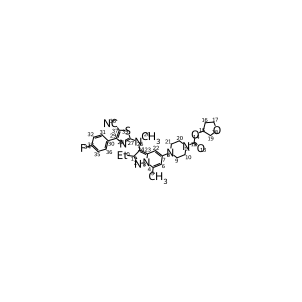 CCc1nn2c(C)cc(N3CCN(C(=O)OC4CCOC4)CC3)cc2c1N(C)c1nc(-c2ccc(F)cc2)c(C#N)s1